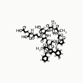 C[C@H](NC(=O)CN1C(=O)C=CC1=O)C(=O)N[C@H](C)C(=O)N[C@@H](CC(=O)O)C(=O)N[C@@H](CCN(C(=O)CO)[C@@H](c1cc(-c2cc(F)ccc2F)cn1Cc1ccccc1)C(C)(C)C)C(=O)NCCC(=O)N[C@H](CCC(=O)O)C(=O)O